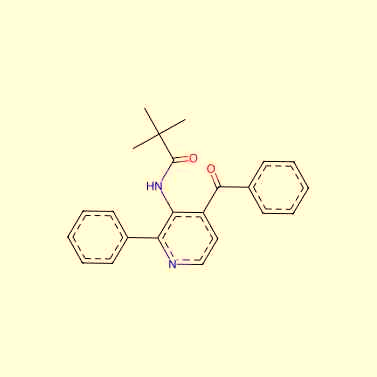 CC(C)(C)C(=O)Nc1c(C(=O)c2ccccc2)ccnc1-c1ccccc1